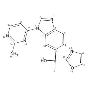 CC(O)(c1ccc2ncn(-c3ccnc(N)n3)c2c1)c1ncco1